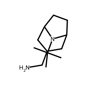 CC(C)(C)N1C2CCC1CC(CN)C2